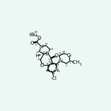 C[C@H]1CN(c2nc(Cl)cc3c2C(=O)N2CCN(C(=O)OC(C)(C)C)C[C@@H]2CO3)CCO1